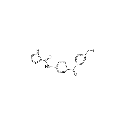 O=C(c1ccc(CI)cc1)c1ccc(NC(=O)c2ccc[nH]2)cc1